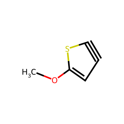 COc1cc#cs1